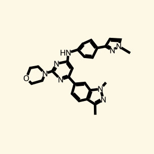 Cc1nn(C)c2cc(-c3cc(Nc4ccc(-c5ccn(C)n5)cc4)nc(N4CCOCC4)n3)ccc12